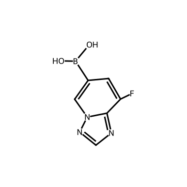 OB(O)c1cc(F)c2ncnn2c1